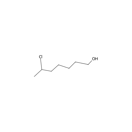 CC(Cl)CCCCCO